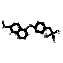 COc1ccc2c(Oc3ccc(CP(=O)(O)O)cc3)ccnc2n1